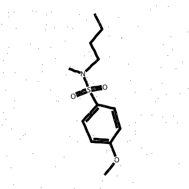 CCCCN(C)S(=O)(=O)c1ccc(OC)cc1